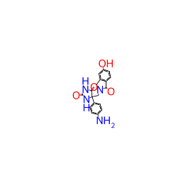 Nc1ccc(C2(CN3Cc4cc(O)ccc4C3=O)NC(=O)NC2=O)cc1